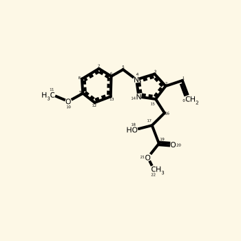 C=Cc1cn(Cc2ccc(OC)cc2)nc1CC(O)C(=O)OC